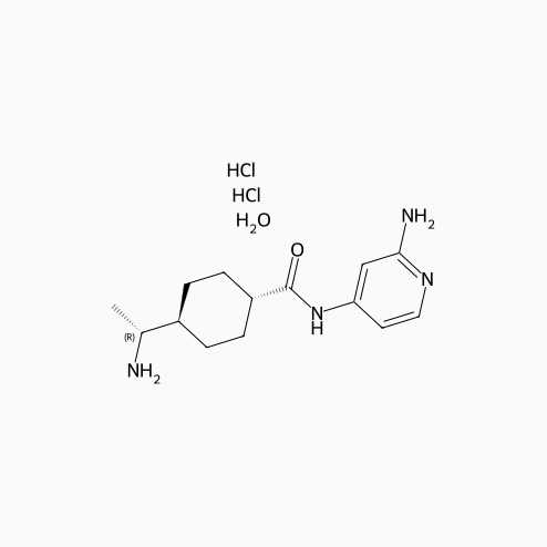 C[C@@H](N)[C@H]1CC[C@H](C(=O)Nc2ccnc(N)c2)CC1.Cl.Cl.O